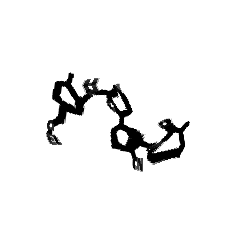 CCOCc1ccc(C)c(Nc2ncc(-c3ccc(C#N)c(-n4cccc(C)c4=O)c3)o2)c1